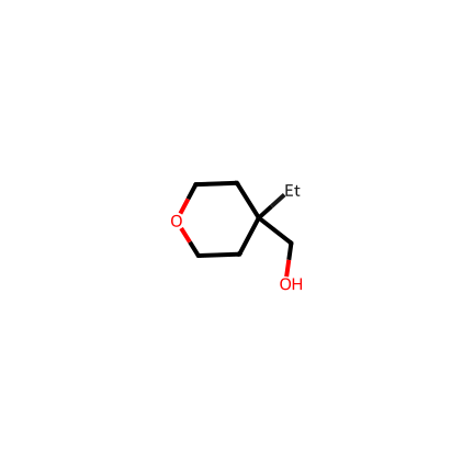 CCC1(CO)CCOCC1